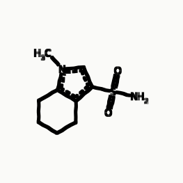 Cn1cc(S(N)(=O)=O)c2c1CCCC2